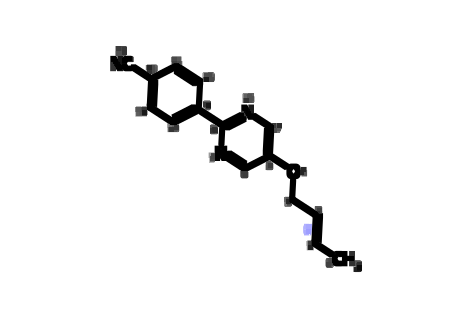 C/C=C/COc1cnc(-c2ccc(C#N)cc2)nc1